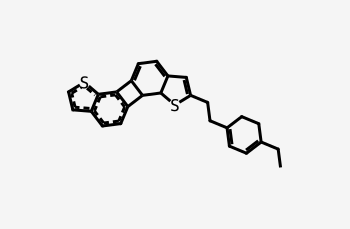 CCC1=CC=C(CCC2=CC3=CC=C4c5c(ccc6ccsc56)C4C3S2)CC1